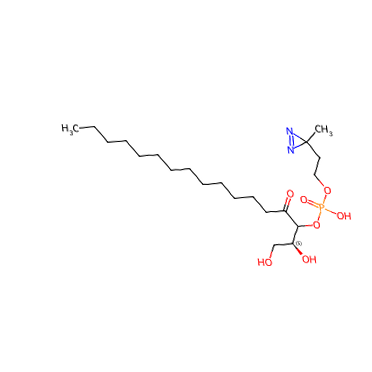 CCCCCCCCCCCCCC(=O)C(OP(=O)(O)OCCC1(C)N=N1)[C@@H](O)CO